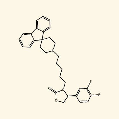 O=C1OC[C@H](c2ccc(F)c(F)c2)N1CCCCCN1CCC2(CC1)c1ccccc1-c1ccccc12